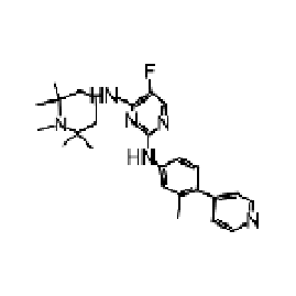 Cc1cc(Nc2ncc(F)c(NC3CC(C)(C)N(C)C(C)(C)C3)n2)ccc1-c1ccncc1